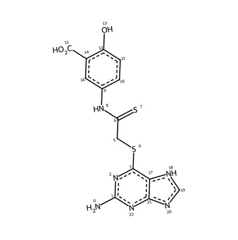 Nc1nc(SCC(=S)Nc2ccc(O)c(C(=O)O)c2)c2[nH]cnc2n1